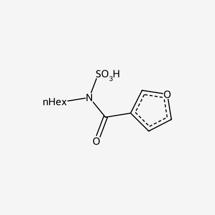 CCCCCCN(C(=O)c1ccoc1)S(=O)(=O)O